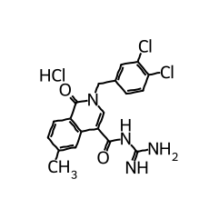 Cc1ccc2c(=O)n(Cc3ccc(Cl)c(Cl)c3)cc(C(=O)NC(=N)N)c2c1.Cl